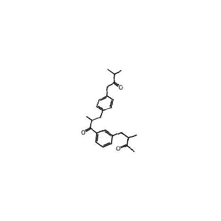 CC(=O)C(C)Cc1cccc(C(=O)C(C)Cc2ccc(CC(=O)C(C)C)cc2)c1